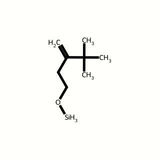 C=C(CCO[SiH3])C(C)(C)C